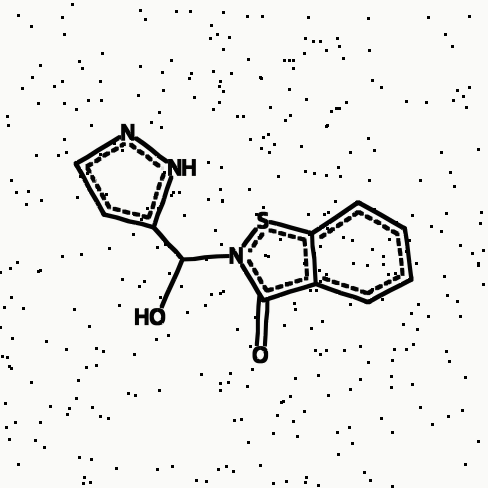 O=c1c2ccccc2sn1C(O)c1ccn[nH]1